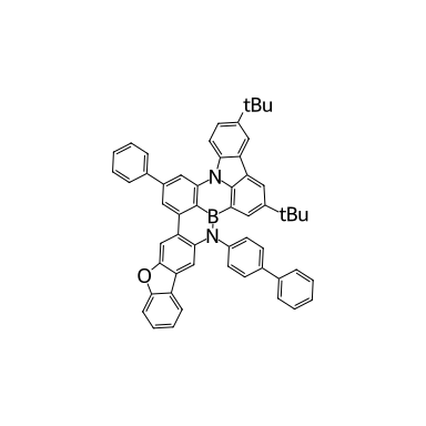 CC(C)(C)c1ccc2c(c1)c1cc(C(C)(C)C)cc3c1n2-c1cc(-c2ccccc2)cc2c1B3N(c1ccc(-c3ccccc3)cc1)c1cc3c(cc1-2)oc1ccccc13